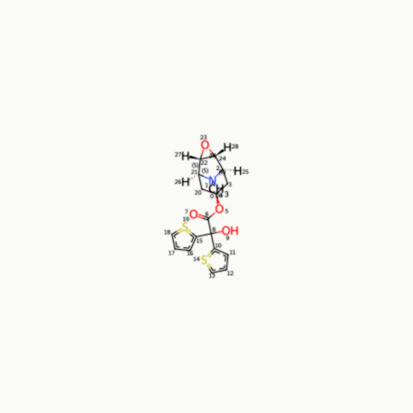 CN1[C@@H]2C[C@@H](OC(=O)C(O)(c3cccs3)c3cccs3)C[C@H]1[C@@H]1O[C@@H]12